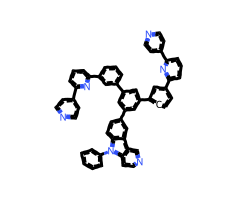 c1ccc(-n2c3ccncc3c3cc(-c4cc(-c5cccc(-c6cccc(-c7ccncc7)n6)c5)cc(-c5cccc(-c6cccc(-c7ccncc7)n6)c5)c4)ccc32)cc1